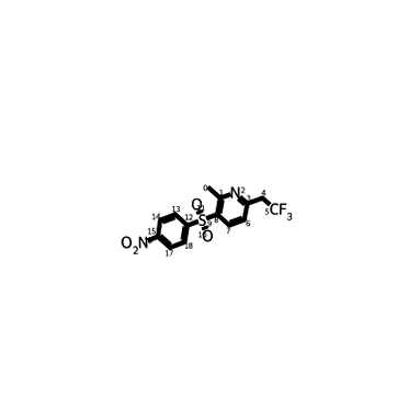 Cc1nc(CC(F)(F)F)ccc1S(=O)(=O)c1ccc([N+](=O)[O-])cc1